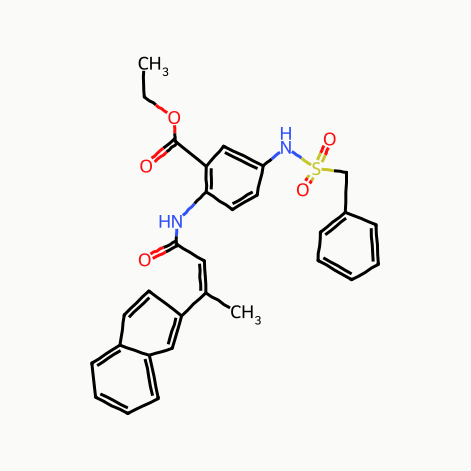 CCOC(=O)c1cc(NS(=O)(=O)Cc2ccccc2)ccc1NC(=O)/C=C(/C)c1ccc2ccccc2c1